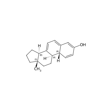 C[C@@]12CCC[C@H]1C1=CC=C3C=C(O)C=C[C@@H]3[C@H]1CC2